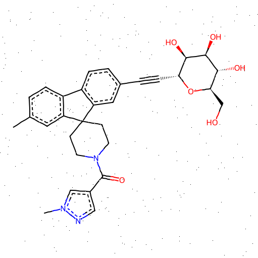 Cc1ccc2c(c1)C1(CCN(C(=O)c3cnn(C)c3)CC1)c1cc(C#C[C@H]3O[C@H](CO)[C@@H](O)[C@H](O)[C@@H]3O)ccc1-2